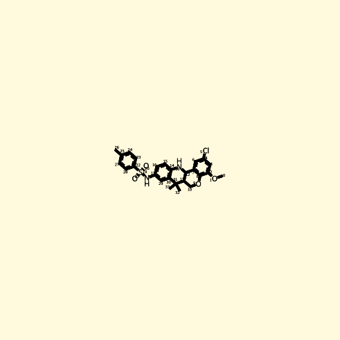 COc1cc(Cl)cc2c1OCC1C2Nc2ccc(NS(=O)(=O)c3ccc(C)cc3)cc2C1(C)C